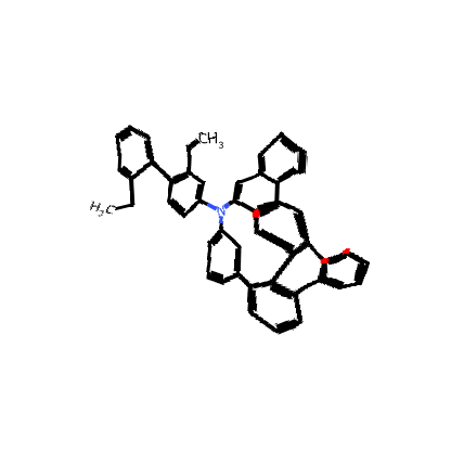 CCc1ccccc1-c1ccc(N(c2cccc(-c3cccc(-c4ccccc4)c3-c3ccccc3-c3ccccc3)c2)c2ccc3ccccc3c2)cc1CC